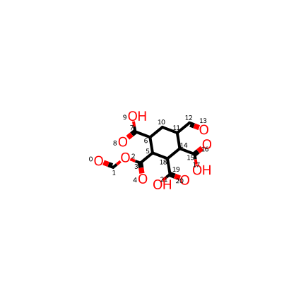 O=COC(=O)C1C(C(=O)O)CC(C=O)C(C(=O)O)C1C(=O)O